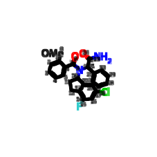 COc1ccccc1C(=O)N([C@@H]1CCc2c(F)cc(Cl)cc21)[C@@H](C(N)=O)c1ccccc1